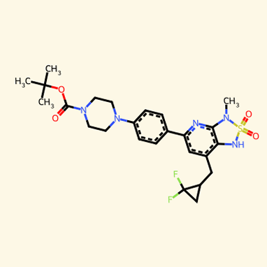 CN1c2nc(-c3ccc(N4CCN(C(=O)OC(C)(C)C)CC4)cc3)cc(CC3CC3(F)F)c2NS1(=O)=O